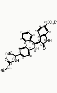 CCCCC(NC(=O)OC(C)(C)C)c1ccc(N/C(=C2\C(=O)Nc3cc(C(=O)OCC)ccc32)c2ccccc2)cc1